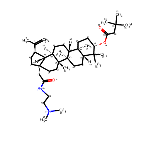 C=C(C)[C@@H]1CC[C@]2(CC(=O)NCCN(C)C)CC[C@]3(C)[C@H](CC[C@@H]4[C@@]5(C)CC[C@H](OC(=O)CC(C)(C)C(=O)O)C(C)(C)[C@@H]5CC[C@]43C)[C@@H]12